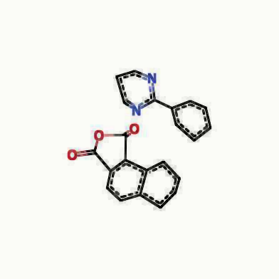 O=C1OC(=O)c2c1ccc1ccccc21.c1ccc(-c2ncccn2)cc1